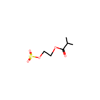 CC(C)C(=O)OCCO[SH](=O)=O